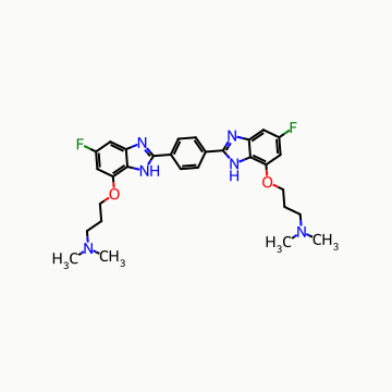 CN(C)CCCOc1cc(F)cc2nc(-c3ccc(-c4nc5cc(F)cc(OCCCN(C)C)c5[nH]4)cc3)[nH]c12